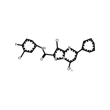 O=C(Nc1ccc(F)c(Cl)c1)c1nn2c(C(F)(F)F)cc(-c3ccccc3)nc2c1Cl